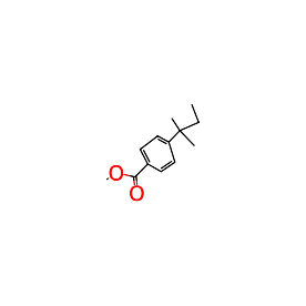 CCC(C)(C)c1ccc(C(=O)OC)cc1